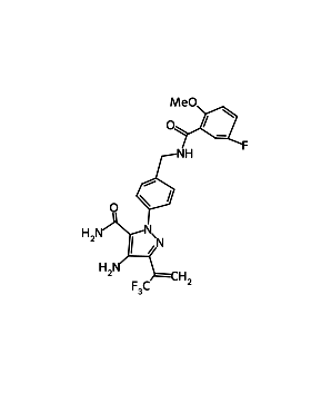 C=C(c1nn(-c2ccc(CNC(=O)c3cc(F)ccc3OC)cc2)c(C(N)=O)c1N)C(F)(F)F